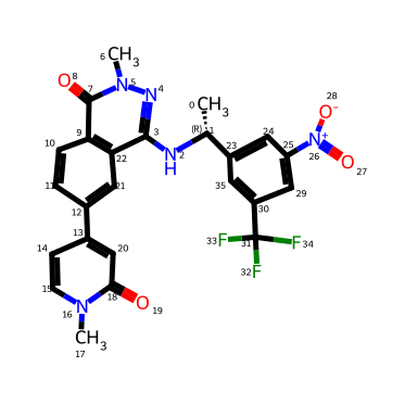 C[C@@H](Nc1nn(C)c(=O)c2ccc(-c3ccn(C)c(=O)c3)cc12)c1cc([N+](=O)[O-])cc(C(F)(F)F)c1